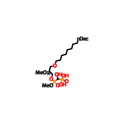 CCCCCCCCCCCCCCCCCCOC[C@H](COP(=O)(OC)C(O)P(=O)(O)O)OC